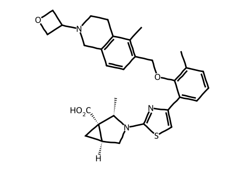 Cc1cccc(-c2csc(N3C[C@H]4C[C@@]4(C(=O)O)[C@@H]3C)n2)c1OCc1ccc2c(c1C)CCN(C1COC1)C2